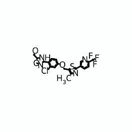 Cc1nc(-c2ccc(C(F)(F)F)nc2)sc1COc1ccc(C2=NOC(C=O)N2)c(Cl)c1